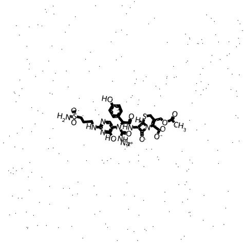 CC(=O)OCC1=C(C(=O)[O-])N2C(=O)C(NC(=O)C(c3ccc(O)cc3)N(C(N)=O)c3cnc(NCCCS(N)(=O)=O)nc3O)[C@@H]2SC1.[Na+]